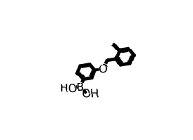 Cc1ccccc1COc1cccc(B(O)O)c1